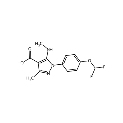 CNc1c(C(=O)O)c(C)nn1-c1ccc(OC(F)F)cc1